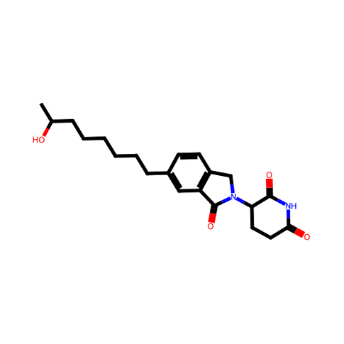 CC(O)CCCCCCc1ccc2c(c1)C(=O)N(C1CCC(=O)NC1=O)C2